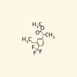 CCc1cc(C(C)C(=O)OC)ccc1C(F)(F)F